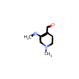 C=NC1=C(C=O)CCN(C)C1